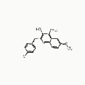 O=C(O)c1c(O)c(Cc2ccc(Cl)cc2)nc2ccc(OC(F)(F)F)cc12